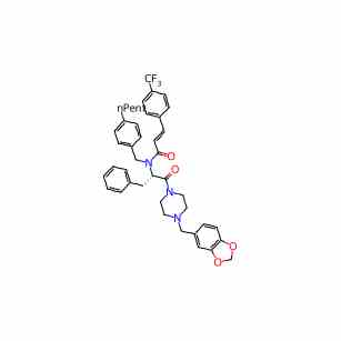 CCCCCc1ccc(CN(C(=O)/C=C/c2ccc(C(F)(F)F)cc2)[C@@H](Cc2ccccc2)C(=O)N2CCN(Cc3ccc4c(c3)OCO4)CC2)cc1